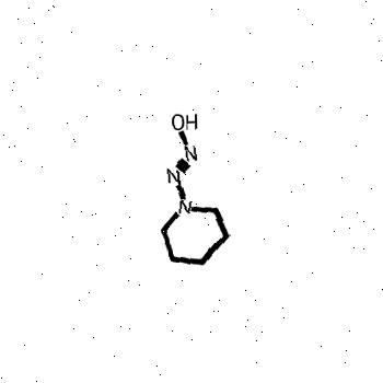 O/N=N/N1CCCCC1